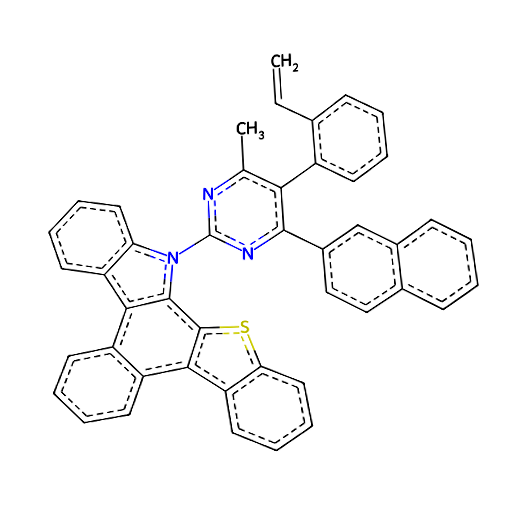 C=Cc1ccccc1-c1c(C)nc(-n2c3ccccc3c3c4ccccc4c4c5ccccc5sc4c32)nc1-c1ccc2ccccc2c1